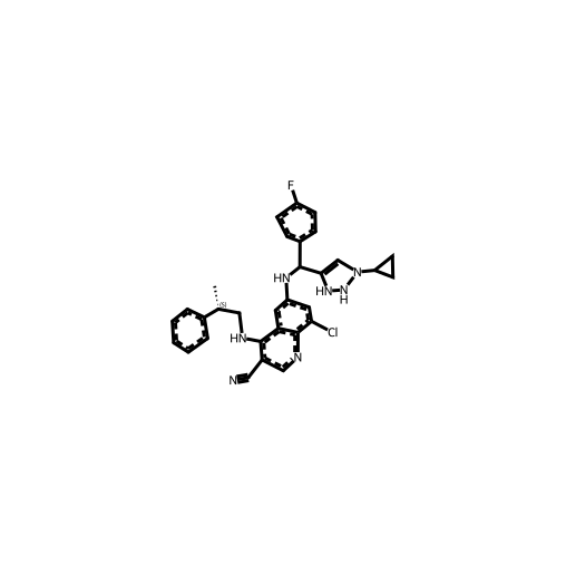 C[C@H](CNc1c(C#N)cnc2c(Cl)cc(NC(C3=CN(C4CC4)NN3)c3ccc(F)cc3)cc12)c1ccccc1